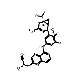 C#C[C@H](C)Oc1cnc2c(Nc3cc(F)c(F)c([C@@]4(C)N=C(N)S[C@@]5(C(F)F)C[C@@H]45)c3)nccc2n1